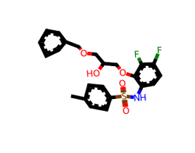 Cc1ccc(S(=O)(=O)Nc2ccc(F)c(F)c2OCC(O)COCc2ccccc2)cc1